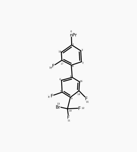 CCCc1ccc(-c2cc(F)c(C(F)(F)Br)c(F)c2)c(F)c1